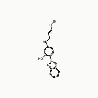 CCO/C=C/CNc1ccc(-n2nc3ccccc3n2)c(O)c1